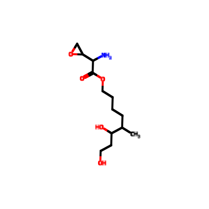 CC(CCCCOC(=O)C(N)C1CO1)C(O)CCO